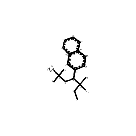 CCC(C)(I)C(CC(C)(C)N)c1ccc2ccccc2c1